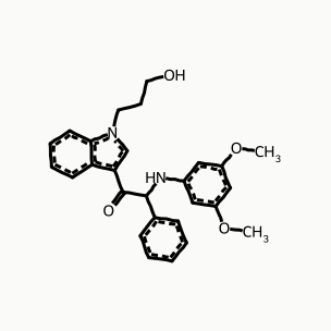 COc1cc(NC(C(=O)c2cn(CCCO)c3ccccc23)c2ccccc2)cc(OC)c1